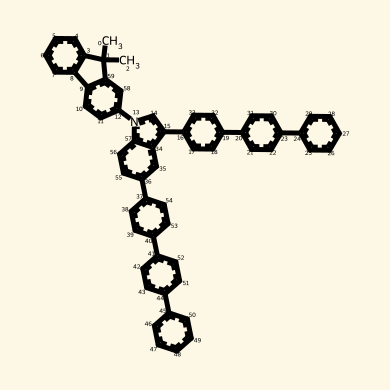 CC1(C)c2ccccc2-c2ccc(-n3cc(-c4ccc(-c5ccc(-c6ccccc6)cc5)cc4)c4cc(-c5ccc(-c6ccc(-c7ccccc7)cc6)cc5)ccc43)cc21